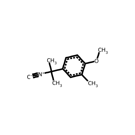 [C-]#[N+]C(C)(C)c1ccc(OC)c(C)c1